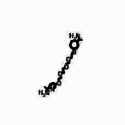 C[C@H](N)/C1=C/C=C(/OCCOCCOCCOCCOc2ccc([C@H](C)N)nc2)CCCC1